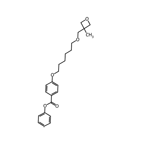 CC1(COCCCCCCOc2ccc(C(=O)Oc3cc[c]cc3)cc2)COC1